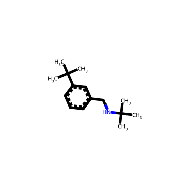 CC(C)(C)NCc1cccc(C(C)(C)C)c1